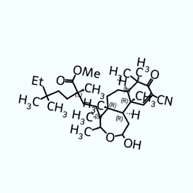 CCC(C)(C)CC[C@@](C)(CC[C@]1(C)C(C)OC(O)C[C@@H]2[C@@]3(C)C=C(C#N)C(=O)C(C)(C)[C@@H]3CC[C@]21C)C(=O)OC